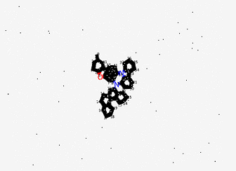 CC1C=Cc2oc3cc(N(c4cc5ccc6ccccc6c5c5ccccc45)c4cccc5c6ccccc6n(-c6ccccc6)c45)ccc3c2C1